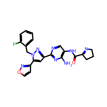 Nc1nc(-c2cc(-c3ccon3)n(Cc3ccccc3F)n2)ncc1NC(=O)C1=NCCC1